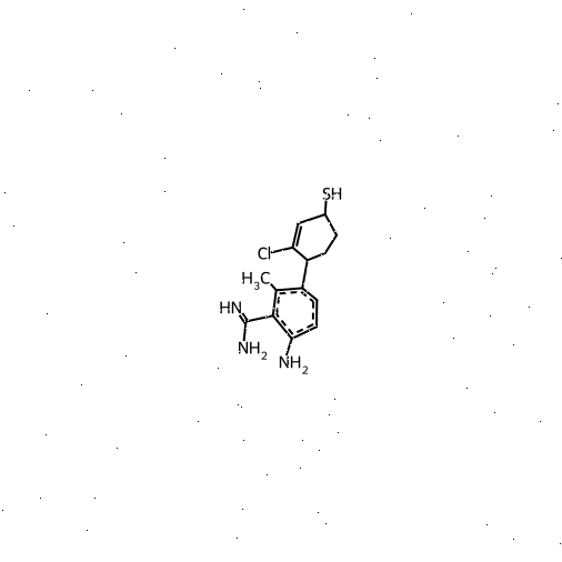 Cc1c(C2CCC(S)C=C2Cl)ccc(N)c1C(=N)N